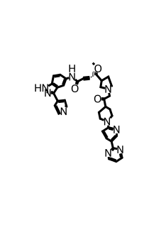 CO[C@@H](C#CC(=O)Nc1ccc2[nH]nc(-c3ccncc3)c2c1)C1CCN(CC(=O)C2CCN(c3ccc(-c4ncccn4)cn3)CC2)C1